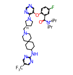 CC(C)N(C(=O)c1cc(F)ccc1Oc1cncnc1N1CC[C@@H](CN2CCC3(CCC(Nc4ncc(C(F)(F)F)cn4)CC3)CC2)C1)C(C)C